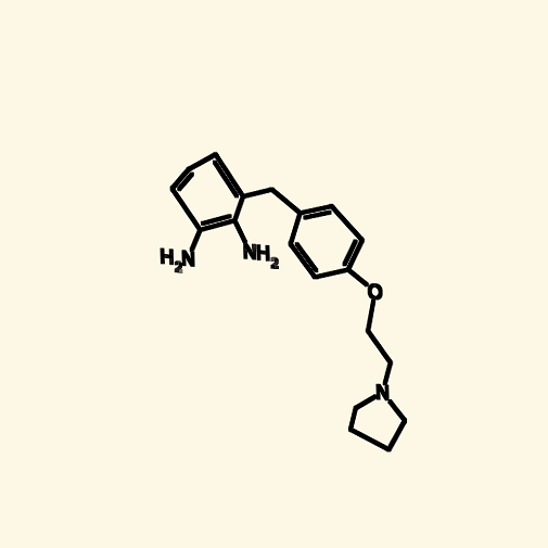 Nc1cccc(Cc2ccc(OCCN3CCCC3)cc2)c1N